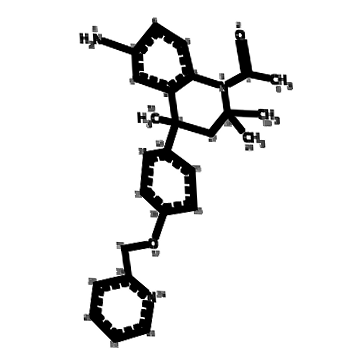 CC(=O)N1c2ccc(N)cc2C(C)(c2ccc(OCc3ccccn3)cc2)CC1(C)C